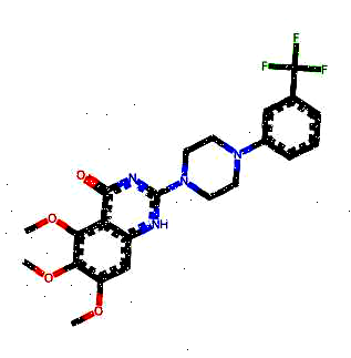 COc1cc2[nH]c(N3CCN(c4cccc(C(F)(F)F)c4)CC3)nc(=O)c2c(OC)c1OC